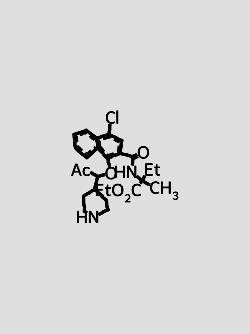 CCOC(=O)C(C)(CC)NC(=O)c1cc(Cl)c2ccccc2c1OC(C(C)=O)C1CCNCC1